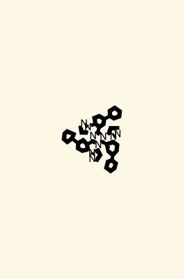 c1ccc(-c2ccc(-n3cccn3)c(-c3nc(-c4cc(-c5ccccc5)ccc4-n4cccn4)nc(-c4cc(-c5ccccc5)ccc4-n4cccn4)n3)c2)cc1